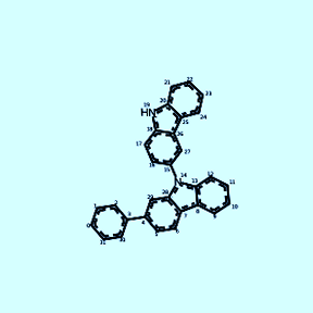 c1ccc(-c2ccc3c4ccccc4n(-c4ccc5[nH]c6ccccc6c5c4)c3c2)cc1